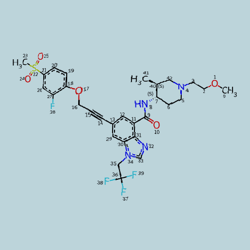 COCCN1CC[C@H](NC(=O)c2cc(C#CCOc3ccc(S(C)(=O)=O)cc3F)cc3c2ncn3CC(F)(F)F)[C@@H](C)C1